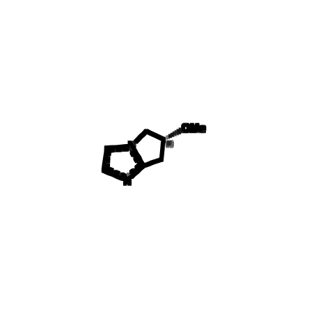 CO[C@@H]1Cc2nccn2C1